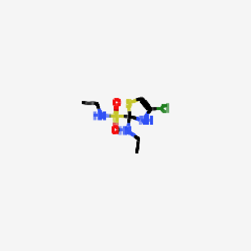 CCNC1(S(=O)(=O)NCC)NC(Cl)=CS1